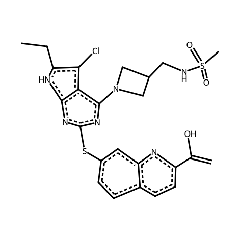 C=C(O)c1ccc2ccc(Sc3nc(N4CC(CNS(C)(=O)=O)C4)c4c(Cl)c(CC)[nH]c4n3)cc2n1